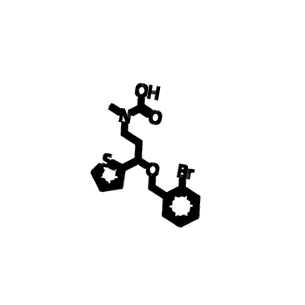 CN(CCC(OCc1ccccc1Br)c1cccs1)C(=O)O